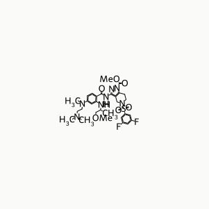 COC[C@H](C)Nc1cc(N(C)CCN(C)C)ccc1C(=O)Nc1nn(C(=O)OC)c2c1CN(S(=O)(=O)c1cc(F)cc(F)c1)CC2